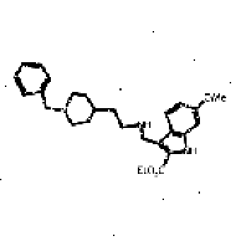 CCOC(=O)c1[nH]c2cc(OC)ccc2c1CNCCC1CCN(Cc2ccccc2)CC1